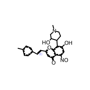 Cc1ccc(/C=C/c2cc(=O)c3c(N=O)cc(O)c(C4CCN(C)CC4O)c3o2)cc1